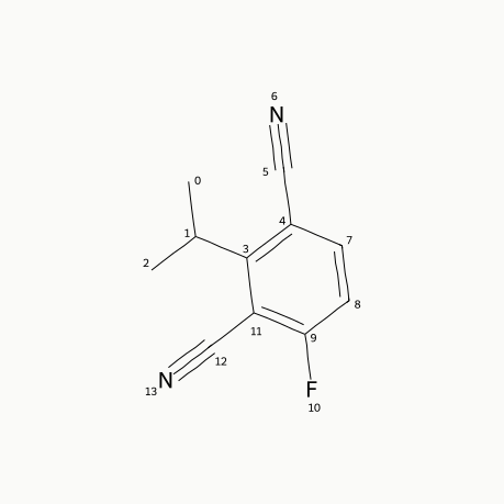 CC(C)c1c(C#N)ccc(F)c1C#N